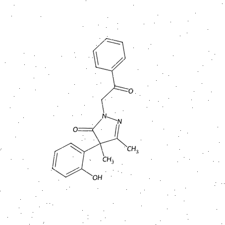 CC1=NN(CC(=O)c2ccccc2)C(=O)C1(C)c1ccccc1O